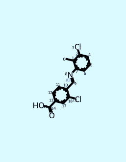 Cc1c(Cl)cccc1/N=C/c1ccc(C(=O)O)cc1Cl